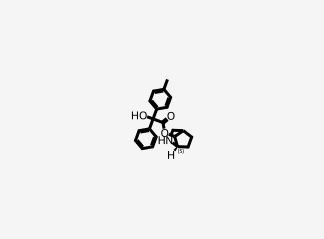 Cc1ccc(C(O)(C(=O)OC2C3CC[C@@H]2NC3)c2ccccc2)cc1